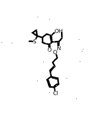 CCC(=NOCC/C=C/c1ccc(Cl)cc1)C1=C(O)CC(C2(SC)CC2)CC1=O